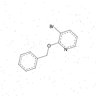 Brc1cc[c]nc1OCc1ccccc1